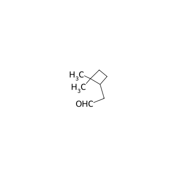 CC1(C)CCC1CC=O